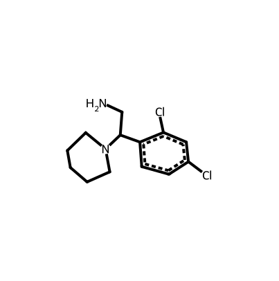 NCC(c1ccc(Cl)cc1Cl)N1CCCCC1